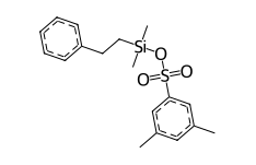 Cc1cc(C)cc(S(=O)(=O)O[Si](C)(C)CCc2ccccc2)c1